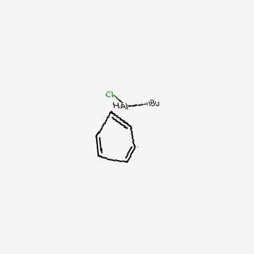 CCC[CH2][AlH][Cl].[c]1ccccc1